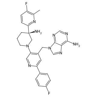 Cc1nc([C@@]2(N)CCCN(c3cnc(-c4ccc(F)cc4)cc3Cn3cnc4c(N)ncnc43)C2)ccc1F